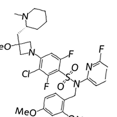 COc1ccc(CN(c2cccc(F)n2)S(=O)(=O)c2c(F)cc(N3CC(C[C@H]4CCCCN4C)(OC)C3)c(Cl)c2F)c(OC)c1